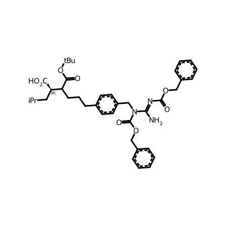 CC(C)C[C@@H](C(=O)O)C(CCCc1ccc(CN(C(=O)OCc2ccccc2)C(N)=NC(=O)OCc2ccccc2)cc1)C(=O)OC(C)(C)C